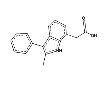 Cc1[nH]c2c(CC(=O)O)cccc2c1-c1ccccc1